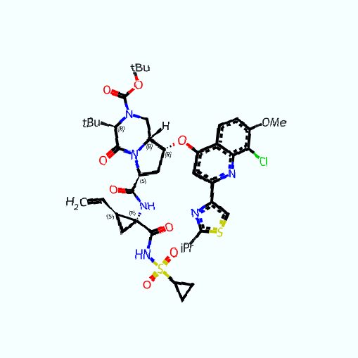 C=C[C@@H]1C[C@]1(NC(=O)[C@@H]1C[C@@H](Oc2cc(-c3csc(C(C)C)n3)nc3c(Cl)c(OC)ccc23)[C@H]2CN(C(=O)OC(C)(C)C)[C@H](C(C)(C)C)C(=O)N21)C(=O)NS(=O)(=O)C1CC1